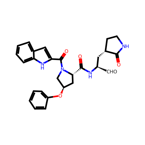 O=C[C@H](C[C@@H]1CCNC1=O)NC(=O)[C@@H]1C[C@@H](Oc2ccccc2)CN1C(=O)c1cc2ccccc2[nH]1